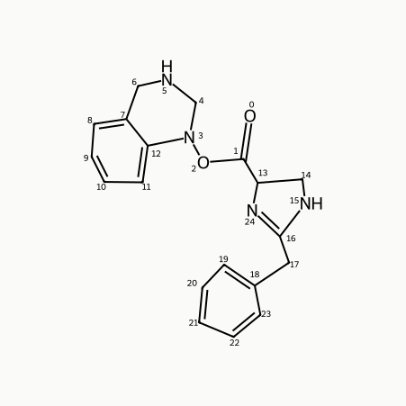 O=C(ON1CNCc2ccccc21)C1CNC(Cc2ccccc2)=N1